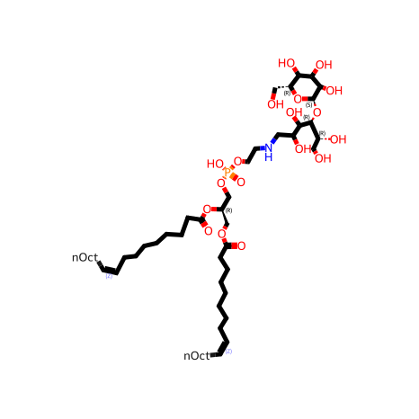 CCCCCCCC/C=C\CCCCCCCC(=O)OC[C@H](COP(=O)(O)OCCNCC(O)C(O)[C@H](O[C@@H]1O[C@H](CO)C(O)C(O)C1O)[C@H](O)CO)OC(=O)CCCCCCC/C=C\CCCCCCCC